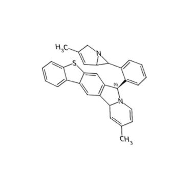 CC1=CC2c3cc4c(cc3[C@@H](c3ccccc3C3C5C=C(C)CN53)N2C=C1)sc1ccccc14